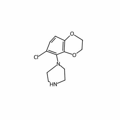 Clc1ccc2c(c1N1CCNCC1)OCCO2